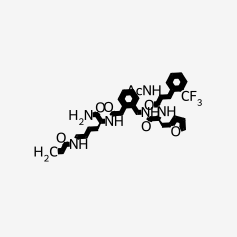 C=CC(=O)NCCCC[C@H](NC(=O)Cc1ccccc1CNC(=O)[C@H](Cc1ccco1)NC(=O)[C@@H](Cc1ccccc1C(F)(F)F)NC(C)=O)C(N)=O